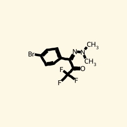 CN(C)N=C(C(=O)C(F)(F)F)c1ccc(Br)cc1